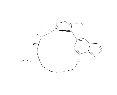 CCN1C(=O)N[C@@H](CCC(F)(F)F)CCCCCOc2nc(cn3ncnc23)-c2cc(ncc2OC)[C@H]1C